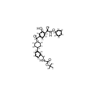 CC(C)(C)OC(=O)NCc1cccc(C2CCN(C(=O)c3ccc(C(=O)NOc4ccccc4)c(O)c3)CC2)c1